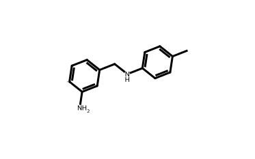 Cc1ccc(NCc2cc[c]c(N)c2)cc1